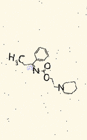 CC/C(=N/C(=O)OCCN1CCCCC1)c1ccccc1